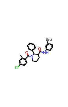 Cc1cc(Cl)ccc1C(=O)N1CCCC(C(=O)Nc2cccc(C(C)(C)C)c2)C1c1ccccc1